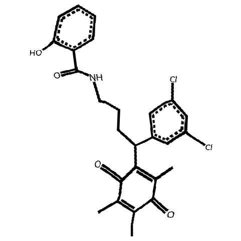 CC1=C(C)C(=O)C(C(CCCNC(=O)c2ccccc2O)c2cc(Cl)cc(Cl)c2)=C(C)C1=O